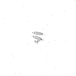 [C-]#N.[C-]#N.[Cd+2]